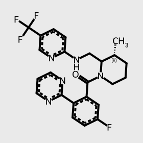 C[C@@H]1CCCN(C(=O)c2cc(F)ccc2-c2ncccn2)C1CNc1ccc(C(F)(F)F)cn1